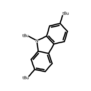 CC(C)(C)c1ccc2c3ccc(C(C)(C)C)cc3n(C(C)(C)C)c2c1